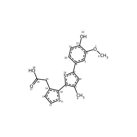 COc1cc(-c2cc(C)c(-c3sccc3CC(=O)O)s2)ccc1O